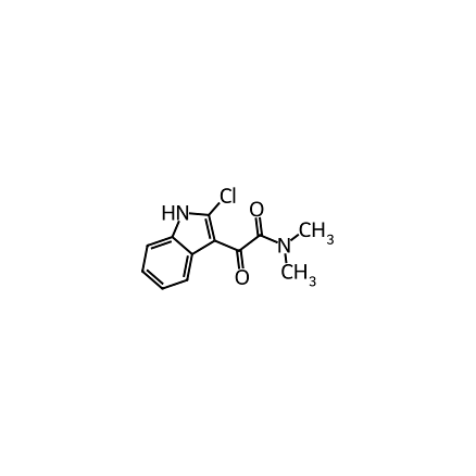 CN(C)C(=O)C(=O)c1c(Cl)[nH]c2ccccc12